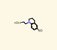 CCCCCCCCCCN1CCCc2cc(N=O)ccc21